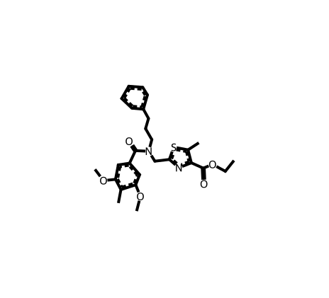 CCOC(=O)c1nc(CN(CCCc2ccccc2)C(=O)c2cc(OC)c(C)c(OC)c2)sc1C